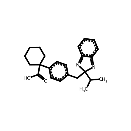 CC(C)C1(Cc2ccc(C3(C(=O)O)CCCCC3)cc2)N=c2ccccc2=N1